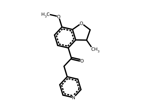 COc1ccc(C(=O)Cc2ccncc2)c2c1OCC2C